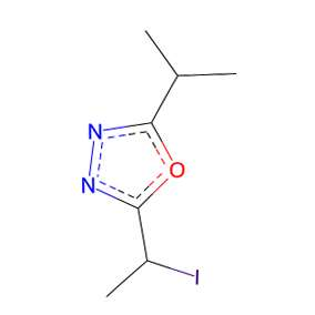 CC(C)c1nnc(C(C)I)o1